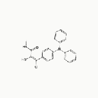 CNC(=O)/C(O)=C(/Cl)c1ccc(N(c2ccccc2)c2ccccc2)cc1